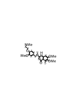 CNCCOc1ccc(CN(C)c2nc(=O)c3c(C)c(OC)c(OC)cc3[nH]2)cc1OC